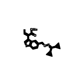 CC=C(C(=O)OC)c1csc2ccc(CON=C(C3CC3)C3CC3)cc12